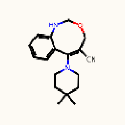 CC1(C)CCN(/C2=C(\C#N)COCNc3ccccc32)CC1